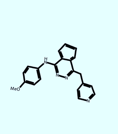 COc1ccc(Nc2nnc(Cc3ccncc3)c3ccccc23)cc1